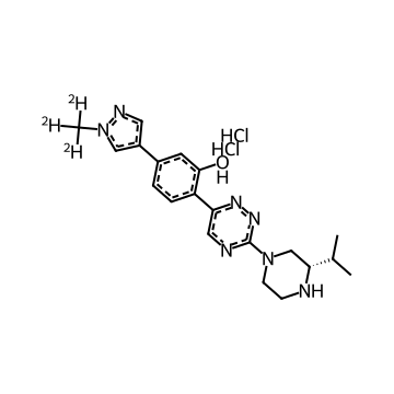 Cl.Cl.[2H]C([2H])([2H])n1cc(-c2ccc(-c3cnc(N4CCN[C@@H](C(C)C)C4)nn3)c(O)c2)cn1